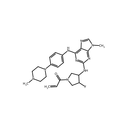 C=CC(=O)N1CC(F)C(Nc2nc(Nc3ccc(N4CCN(C)CC4)cc3)c3ncn(C)c3n2)C1